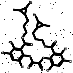 CCC1C(C)C1CCCOC(=O)c1c(Cl)c(Cl)cc(Cl)c1OC(=O)C(=O)Oc1c(Cl)cc(Cl)c(Cl)c1C(=O)OCCCC1C(C)C1CC